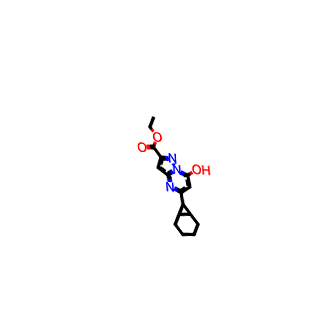 CCOC(=O)c1cc2nc(C3C4CCCCC43)cc(O)n2n1